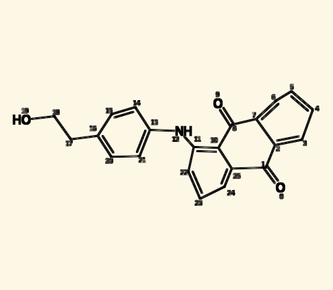 O=C1c2ccccc2C(=O)c2c(Nc3ccc(CCO)cc3)cccc21